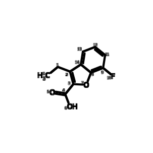 CCc1c(C(=O)O)oc2c(F)cccc12